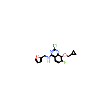 Fc1ccc2c(NCc3ccco3)nc(Cl)nc2c1OCC1CC1